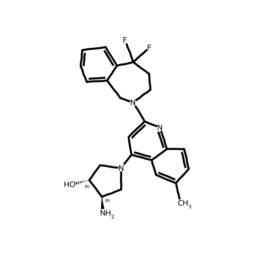 Cc1ccc2nc(N3CCC(F)(F)c4ccccc4C3)cc(N3C[C@@H](N)[C@H](O)C3)c2c1